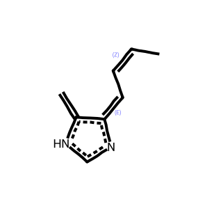 C=c1[nH]cn/c1=C/C=C\C